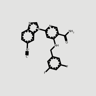 [C-]#[N+]c1ccc2ncn(-c3cc(NCc4cc(F)cc(F)c4)c(C(N)=O)cn3)c2c1